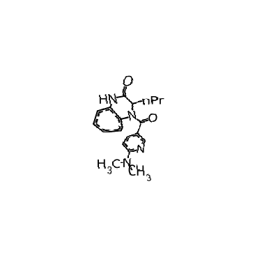 CCCC1C(=O)Nc2ccccc2N1C(=O)c1ccc(N(C)C)nc1